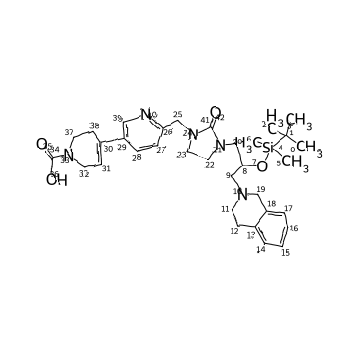 CC(C)(C)[Si](C)(C)OC(CN1CCc2ccccc2C1)CN1CCN(Cc2ccc(C3=CCN(C(=O)O)CC3)cn2)C1=O